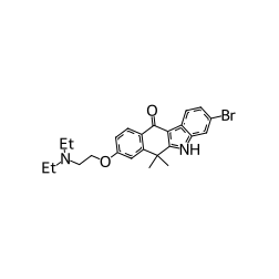 CCN(CC)CCOc1ccc2c(c1)C(C)(C)c1[nH]c3cc(Br)ccc3c1C2=O